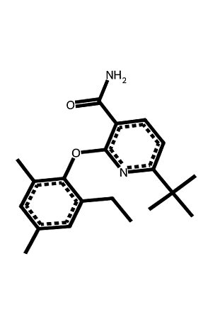 CCc1cc(C)cc(C)c1Oc1nc(C(C)(C)C)ccc1C(N)=O